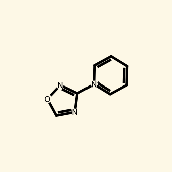 c1cc[n+](-c2ncon2)cc1